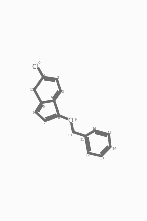 ClC1=CC=C2C(=CC=C2OCc2ccccc2)C1